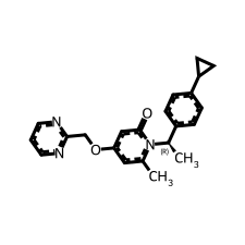 Cc1cc(OCc2ncccn2)cc(=O)n1[C@H](C)c1ccc(C2CC2)cc1